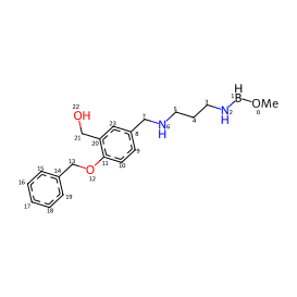 COBNCCCNCc1ccc(OCc2ccccc2)c(CO)c1